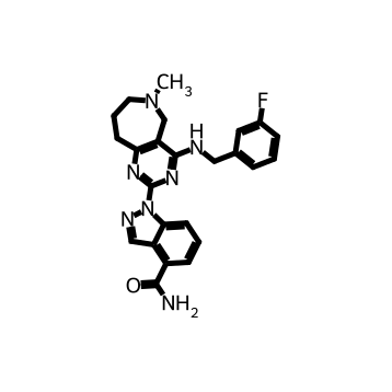 CN1CCCc2nc(-n3ncc4c(C(N)=O)cccc43)nc(NCc3cccc(F)c3)c2C1